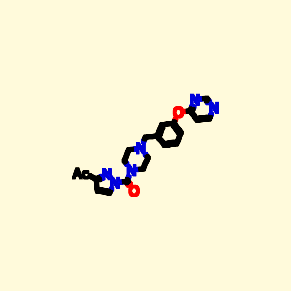 CC(=O)c1ccn(C(=O)N2CCN(Cc3cccc(Oc4ccncn4)c3)CC2)n1